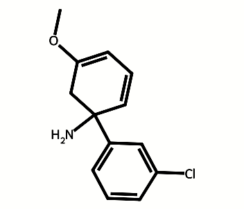 COC1=CC=CC(N)(c2cccc(Cl)c2)C1